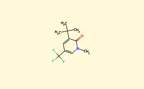 Cn1cc(C(F)(F)F)cc(C(C)(C)C)c1=O